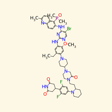 CCc1cc(Nc2ncc(Br)c(Nc3ccc4nc(C)ccc4c3P(C)(C)=O)n2)c(OC)cc1N1CCC(N2CCN(CCC3CCCCN3c3cc(F)c(C4CC(=O)NC(=O)C4)c(F)c3)C(=O)C2)CC1